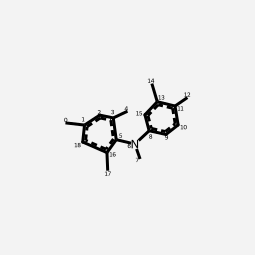 Cc1cc(C)c(N(C)c2ccc(C)c(C)c2)c(C)c1